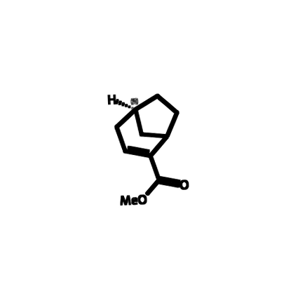 COC(=O)C1=CC[C@H]2CCC1C2